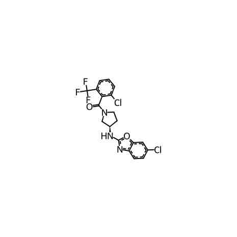 O=C(c1c(Cl)cccc1C(F)(F)F)N1CC[C@@H](Nc2nc3ccc(Cl)cc3o2)C1